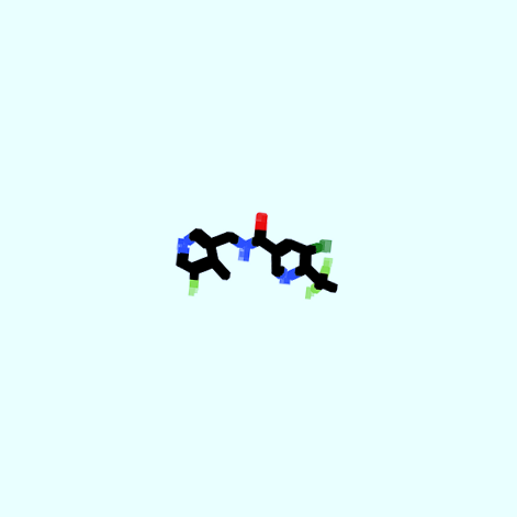 Cc1c(F)cncc1CNC(=O)c1cnc(C(C)(F)F)c(Cl)c1